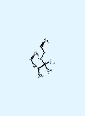 C=CC#N.C=CCOC(C)(O)CS(=O)(=O)O